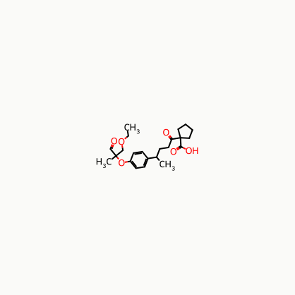 CCOCC(C)(C=O)Oc1ccc(C(C)CCC(=O)C2(C(=O)O)CCCC2)cc1